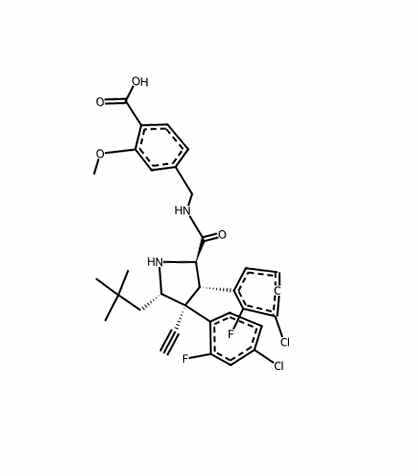 C#C[C@]1(c2ccc(Cl)cc2F)[C@H](CC(C)(C)C)N[C@@H](C(=O)NCc2ccc(C(=O)O)c(OC)c2)[C@@H]1c1cccc(Cl)c1F